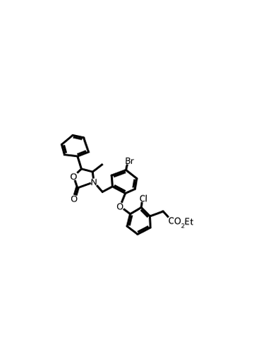 CCOC(=O)Cc1cccc(Oc2ccc(Br)cc2CN2C(=O)OC(c3ccccc3)C2C)c1Cl